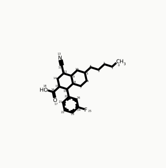 CCCCCC1CCC2C(C1)C(C#N)CC(C(=O)O)C2c1cccc(F)c1